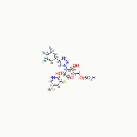 O=S(=O)(O)OC[C@H]1O[C@H](Sc2cncc(Br)c2)[C@H](O)[C@@H](n2cc(-c3cc(F)c(F)c(F)c3)nn2)[C@H]1O